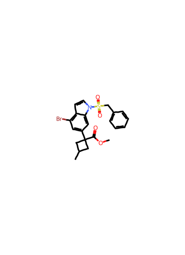 COC(=O)C1(c2cc(Br)c3ccn(S(=O)(=O)Cc4ccccc4)c3c2)CC(C)C1